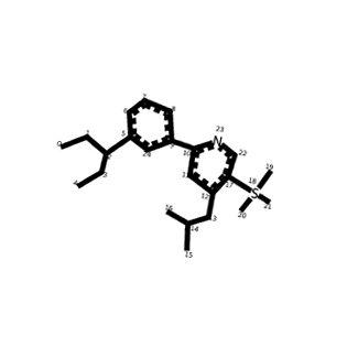 CCC(CC)c1cccc(-c2cc(CC(C)C)c(S(C)(C)C)cn2)c1